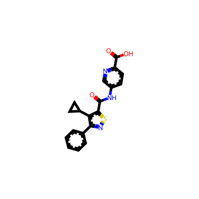 O=C(O)c1ccc(NC(=O)c2snc(-c3ccccc3)c2C2CC2)cn1